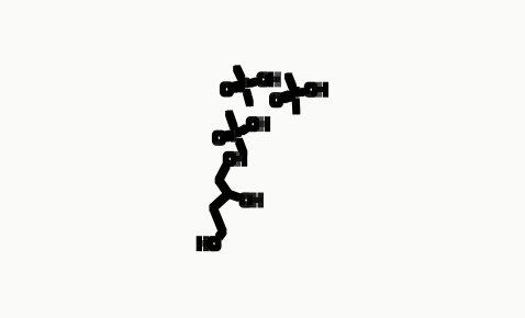 CP(C)(=O)O.CP(C)(=O)O.CP(C)(=O)O.OCCC(O)CO